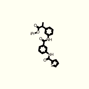 CC(C)OC(=O)C(C)c1cccc(NC(=O)c2cccc(NC(=O)c3cccs3)c2)c1